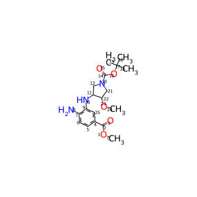 COC(=O)c1ccc(N)c(NC2CN(C(=O)OC(C)(C)C)CC2OC)c1